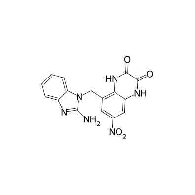 Nc1nc2ccccc2n1Cc1cc([N+](=O)[O-])cc2[nH]c(=O)c(=O)[nH]c12